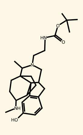 CNC1CCC23CCC1C21c2cc(O)ccc2CC1CN(CCNC(=O)OC(C)(C)C)C3C